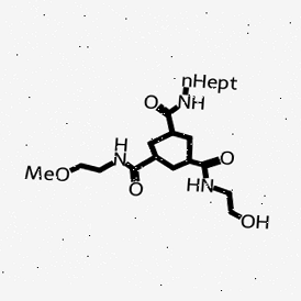 CCCCCCCNC(=O)C1CC(C(=O)NCCO)CC(C(=O)NCCOC)C1